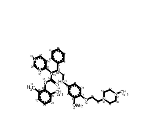 COc1cc(NC[C@H](c2ccccc2)N(C(=O)Oc2c(C)cccc2C)c2ccncn2)ccc1OCCN1CCN(C)CC1